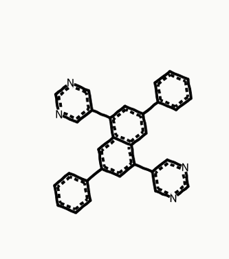 c1ccc(-c2cc(-c3cncnc3)c3cc(-c4ccccc4)cc(-c4cncnc4)c3c2)cc1